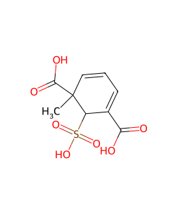 CC1(C(=O)O)C=CC=C(C(=O)O)C1S(=O)(=O)O